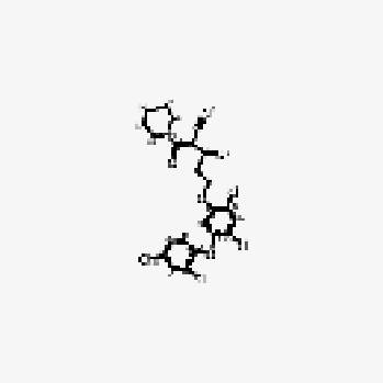 N#CC(C(=O)CCOc1cc(Oc2ccc(Cl)cc2Cl)c(Cl)cc1Cl)C(=O)N1CCCCC1